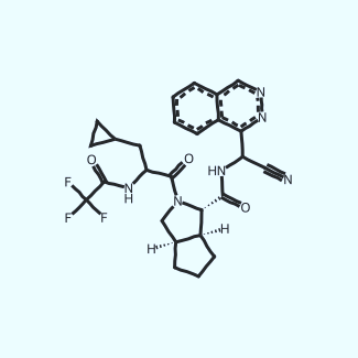 N#CC(NC(=O)[C@@H]1[C@H]2CCC[C@H]2CN1C(=O)C(CC1CC1)NC(=O)C(F)(F)F)c1nncc2ccccc12